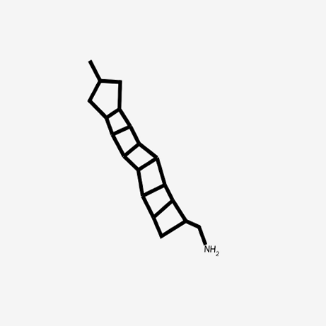 CC1CC2C(C1)C1C2C2C1C1C3C4C(CN)CC4C3C21